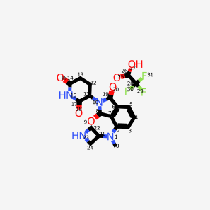 CN(c1cccc2c1C(=O)N(C1CCC(=O)NC1=O)C2=O)C1CNC1.O=C(O)C(F)(F)F